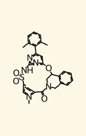 Cc1cccc(C)c1-c1cc2nc(n1)NS(=O)(=O)c1cc(n(C)c1)C(=O)N1Cc3ccccc3C(C1)O2